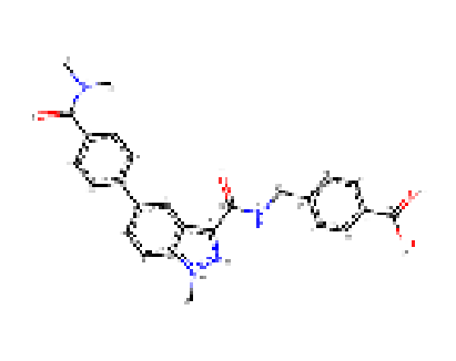 CN(C)C(=O)c1ccc(-c2ccc3c(c2)c(C(=O)NCc2ccc(C(=O)O)cc2)nn3C)cc1